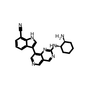 N#Cc1cccc2c(-c3cncc4cnc(N[C@@H]5CCCC[C@@H]5N)nc34)c[nH]c12